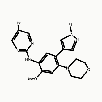 CCn1cc(-c2cc(Nc3ncc(Br)cn3)c(OC)cc2N2CCOCC2)cn1